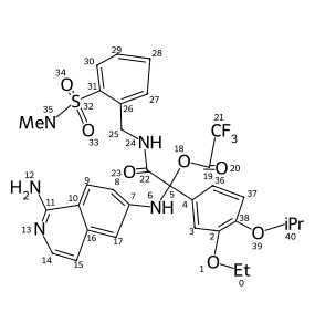 CCOc1cc(C(Nc2ccc3c(N)nccc3c2)(OC(=O)C(F)(F)F)C(=O)NCc2ccccc2S(=O)(=O)NC)ccc1OC(C)C